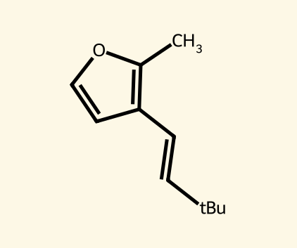 Cc1occc1/C=C/C(C)(C)C